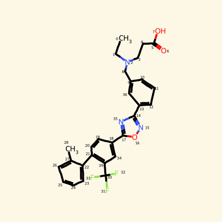 CCN(CCC(=O)O)Cc1cccc(-c2noc(-c3ccc(-c4ccccc4C)c(C(F)(F)F)c3)n2)c1